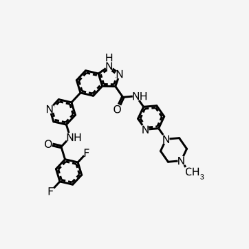 CN1CCN(c2ccc(NC(=O)c3n[nH]c4ccc(-c5cncc(NC(=O)c6cc(F)ccc6F)c5)cc34)cn2)CC1